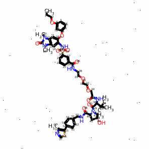 CCCOc1cccc(Oc2cc3c(cc2NS(=O)(=O)c2cccc(C(=O)NCCOCCOCC(=O)NC(C(=O)N4C[C@H](O)CC4C(=O)NCc4ccc(-c5scnc5C)cc4)C(C)(C)C)c2)n(C)c(=O)n3C)c1